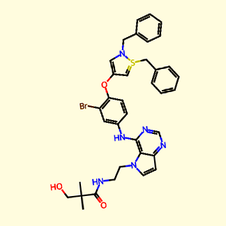 CC(C)(CO)C(=O)NCCn1ccc2ncnc(Nc3ccc(OC4=CN(Cc5ccccc5)S(Cc5ccccc5)=C4)c(Br)c3)c21